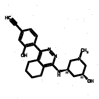 C#Cc1ccc(-c2nnc(N[C@@H]3C[C@H](O)CN(C)C3)c3c2CCCC3)c(O)c1